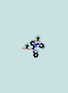 O=C(NCc1ccccc1Cl)c1nc(CN2CCC(F)(F)CC2)n2ccccc12.O=C(O)C(F)(F)F.O=C(O)C(F)(F)F